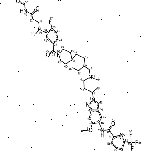 COc1cc2nn(C3CCN(CC4CCC5(CC4)CCN(C(=O)c4ccc(F)c(N(C)CCC(=O)NC=O)c4)CC5)CC3)cc2cc1NC(=O)c1cccc(C(F)(F)F)n1